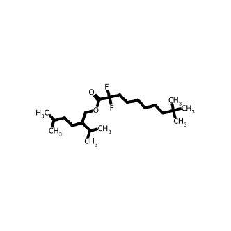 CC(C)CCC(COC(=O)C(F)(F)CCCCCCC(C)(C)C)C(C)C